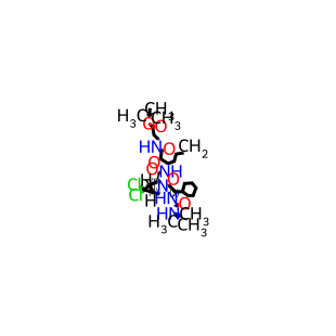 C=CCCC(NC(=O)[C@@H]1[C@@H]2[C@H](CN1C(=O)[C@@H](NC(=O)NC(C)(C)C)C1CCCCC1)C2(Cl)Cl)C(=O)C(=O)NCCC(=O)OC(C)(C)C